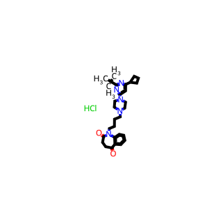 CC(C)(C)c1nc(C2CCC2)cc(N2CCN(CCCCN3C(=O)CCC(=O)c4ccccc43)CC2)n1.Cl